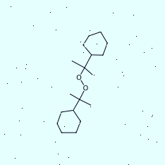 CC(C)(OOC(C)(C)C1CCCCC1)C1CCCCC1